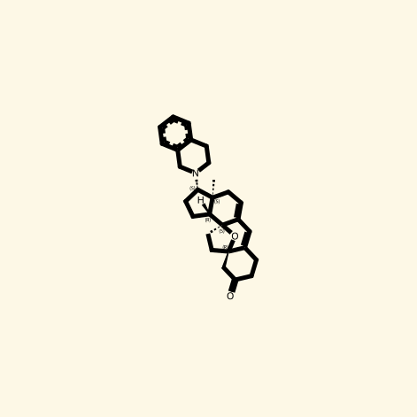 C[C@]12CC=C3C=C4CCC(=O)C[C@]45CC[C@]3(O5)[C@@H]1CC[C@@H]2N1CCc2ccccc2C1